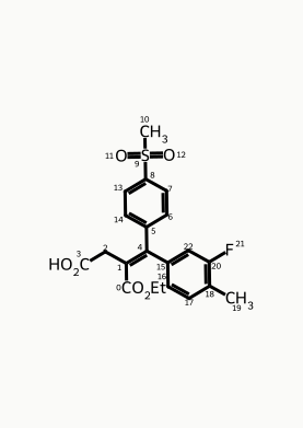 CCOC(=O)C(CC(=O)O)=C(c1ccc(S(C)(=O)=O)cc1)c1ccc(C)c(F)c1